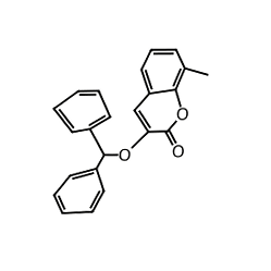 Cc1cccc2cc(OC(c3ccccc3)c3ccccc3)c(=O)oc12